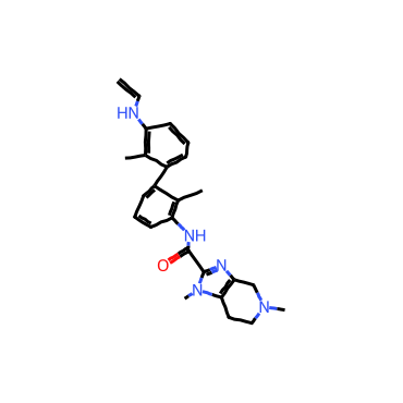 C=CNc1cccc(-c2cccc(NC(=O)c3nc4c(n3C)CCN(C)C4)c2C)c1C